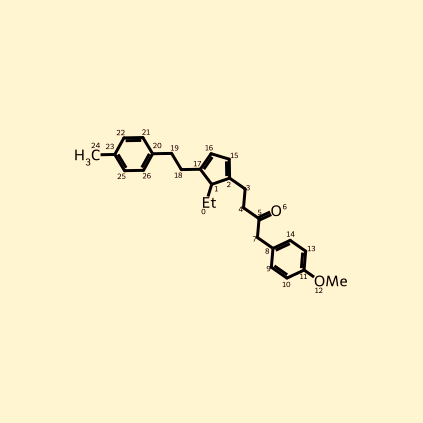 CCC1C(CCC(=O)Cc2ccc(OC)cc2)=CC=C1CCc1ccc(C)cc1